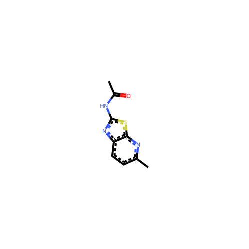 CC(=O)Nc1nc2ccc(C)nc2s1